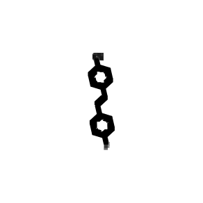 N#Cc1ccc(/C=C/c2ccc(F)cc2)cc1